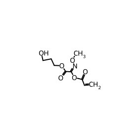 C=CC(=O)OC(=NOC)C(=O)OCCCO